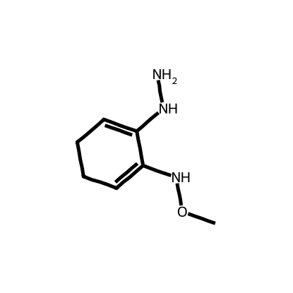 CONC1=CCCC=C1NN